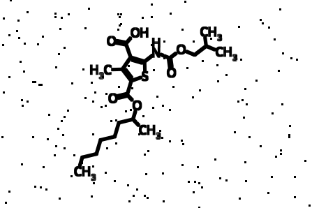 CCCCCCC(C)OC(=O)c1sc(NC(=O)OCC(C)C)c(C(=O)O)c1C